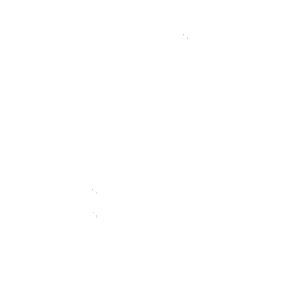 N#Cc1ccc(-c2ccc(C3N=Nc4ccccc43)cc2)cc1